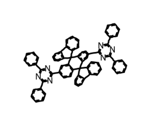 c1ccc(-c2nc(-c3ccccc3)nc(-c3ccc4c(c3)C3(c5ccccc5-c5ccccc53)c3ccc(-c5nc(-c6ccccc6)nc(-c6ccccc6)n5)cc3C43c4ccccc4-c4ccccc43)n2)cc1